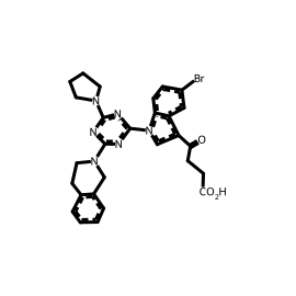 O=C(O)CCC(=O)c1cn(-c2nc(N3CCCC3)nc(N3CCc4ccccc4C3)n2)c2ccc(Br)cc12